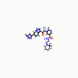 Cc1ncc(C(=O)NCCN2CCCCC2(C)C)cc1NC(=O)c1cnn2cc(-c3cnn(C)c3)ccc12